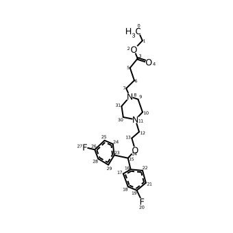 CCOC(=O)CCCN1CCN(CCOC(c2ccc(F)cc2)c2ccc(F)cc2)CC1